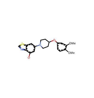 COc1ccc(OC2CCN(c3cc([O])c4ncsc4c3)CC2)cc1OC